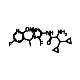 COc1ncc(F)cc1C(C)n1ncc(NC(=O)C(N)C(C2CC2)C2CC2)c1F